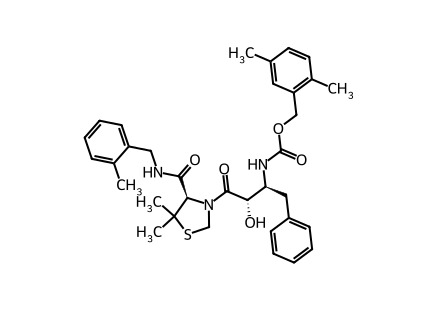 Cc1ccc(C)c(COC(=O)N[C@@H](Cc2ccccc2)[C@H](O)C(=O)N2CSC(C)(C)[C@H]2C(=O)NCc2ccccc2C)c1